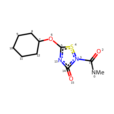 CNC(=O)n1sc(OC2CCCCC2)nc1=O